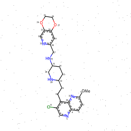 COc1ccc2ncc(Cl)c(CCC3CCC(NCc4cc5c(cn4)OCCO5)CN3)c2n1